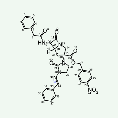 O=C(Cc1ccccc1)N[C@@H]1C(=O)N2C[C@@](C(=O)OCc3ccc([N+](=O)[O-])cc3)(N3CCN(/N=C/c4ccccc4)C3=O)S[C@H]12